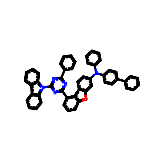 c1ccc(-c2ccc(N(c3ccccc3)c3ccc4c(c3)oc3cccc(-c5nc(-c6ccccc6)nc(-n6c7ccccc7c7ccccc76)n5)c34)cc2)cc1